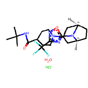 CC(C)(C)NC(=O)C1CCN(C2C[C@H]3CC[C@@H](C2)N3c2nc(C(F)(F)F)no2)CC1.Cl.O